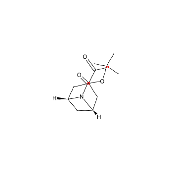 CC(=O)C1C[C@@H]2C[C@H](C1)N2C(=O)OC(C)(C)C